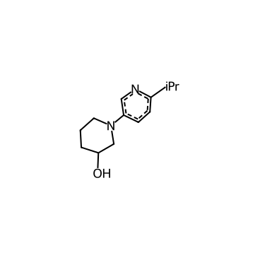 CC(C)c1ccc(N2CCCC(O)C2)cn1